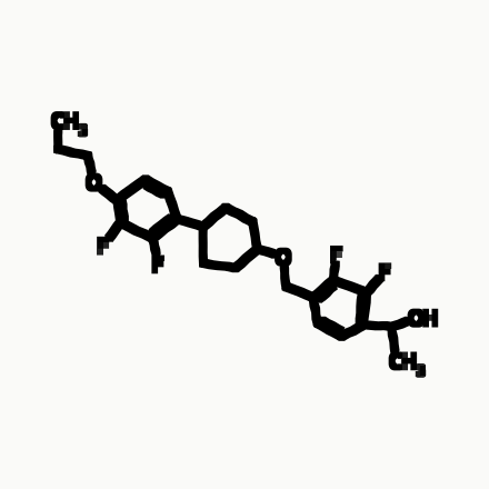 CCCOc1ccc(C2CCC(OCc3ccc(C(C)O)c(F)c3F)CC2)c(F)c1F